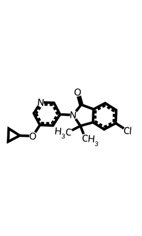 CC1(C)c2cc(Cl)ccc2C(=O)N1c1cncc(OC2CC2)c1